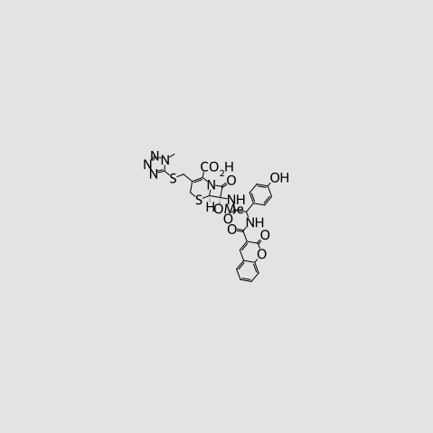 CO[C@@]1(NC(=O)C(NC(=O)c2cc3ccccc3oc2=O)c2ccc(O)cc2)C(=O)N2C(C(=O)O)=C(CSc3nnnn3C)CS[C@@H]21